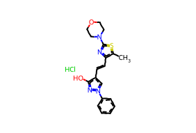 Cc1sc(N2CCOCC2)nc1C=Cc1cn(-c2ccccc2)nc1O.Cl